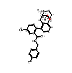 O=C(NCc1ccc(Cl)cc1)c1cc([N+](=O)[O-])ccc1-c1cccc2c1C[C@H]1NCC[C@@]23CCCC[C@@H]13